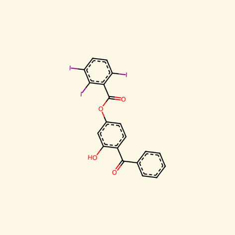 O=C(c1ccccc1)c1ccc(OC(=O)c2c(I)ccc(I)c2I)cc1O